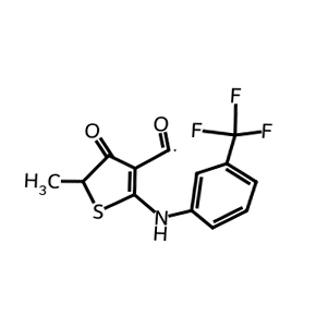 CC1SC(Nc2cccc(C(F)(F)F)c2)=C([C]=O)C1=O